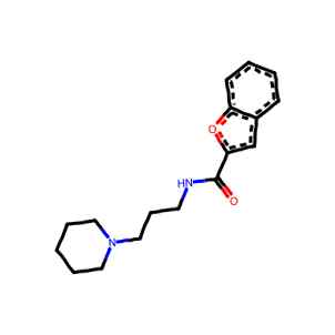 O=C(NCCCN1CCCCC1)c1cc2ccccc2o1